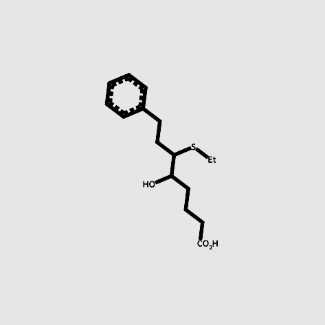 CCSC(CCc1ccccc1)C(O)CCCC(=O)O